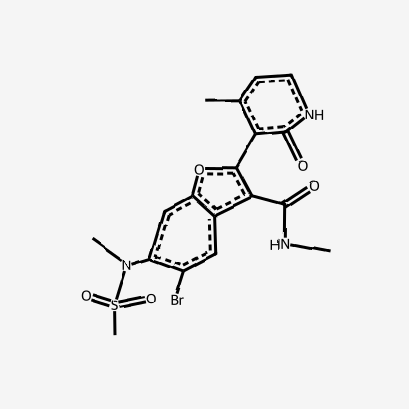 CNC(=O)c1c(-c2c(C)cc[nH]c2=O)oc2cc(N(C)S(C)(=O)=O)c(Br)cc12